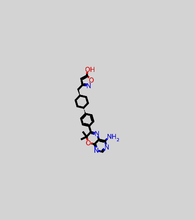 CC1(C)Oc2ncnc(N)c2N=C1c1ccc([C@H]2CC[C@H](Cc3cc(O)on3)CC2)cc1